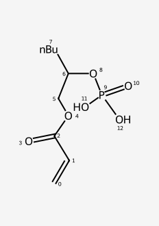 C=CC(=O)OCC(CCCC)OP(=O)(O)O